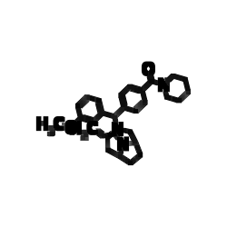 C=CCN1C2CCC1CN(C(c1ccc(C(=O)N3CCCCC3)cc1)c1cccc(OC)c1)CC2